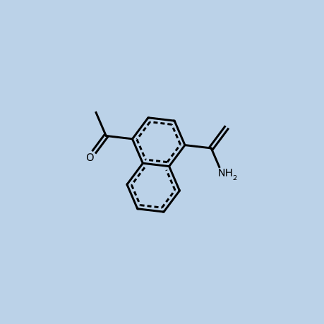 C=C(N)c1ccc(C(C)=O)c2ccccc12